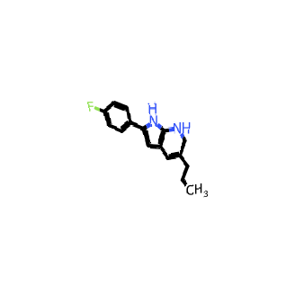 CCCC1=Cc2cc(-c3ccc(F)cc3)[nH]c2NC1